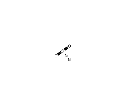 O=[Si]=O.[Ni].[Ni]